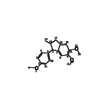 COc1ccc(C2c3cc(OC)c(OC)cc3CC2C)cc1